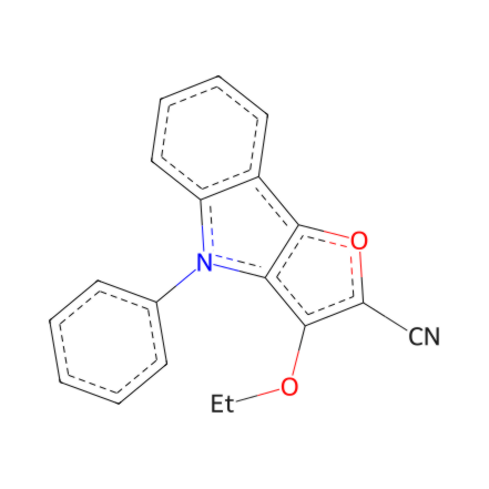 CCOc1c(C#N)oc2c3ccccc3n(-c3ccccc3)c12